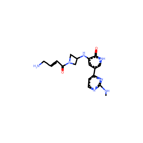 CNc1nccc(-c2c[nH]c(=O)c(NC3CN(C(=O)C=CCN)C3)c2)n1